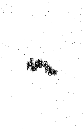 C[C@H]1CN(C(=O)Nc2cnn3ccc(N4CCC[C@@H]4c4cc(F)ccc4F)nc23)CCN1C(=O)OC(C)(C)C